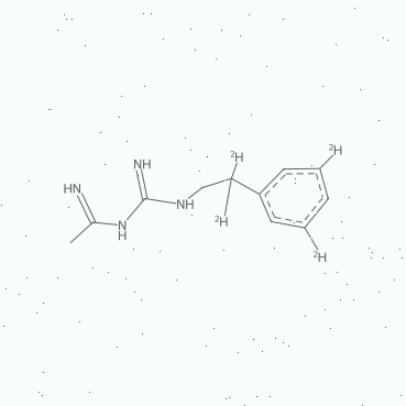 [2H]c1cc([2H])cc(C([2H])([2H])CNC(=N)NC(C)=N)c1